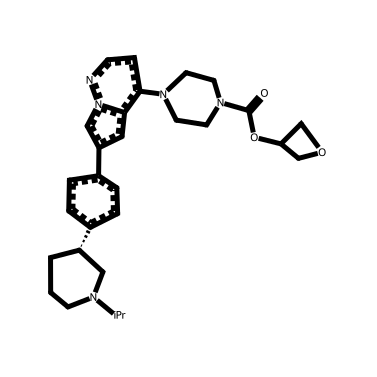 CC(C)N1CCC[C@H](c2ccc(-c3cc4c(N5CCN(C(=O)OC6COC6)CC5)ccnn4c3)cc2)C1